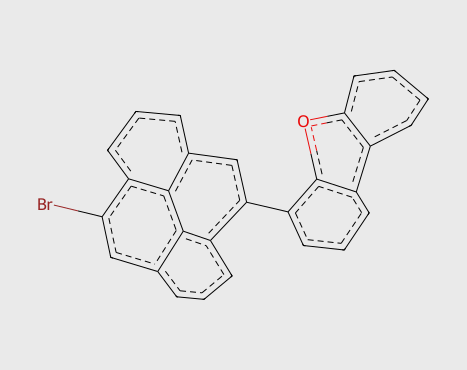 Brc1cc2cccc3c(-c4cccc5c4oc4ccccc45)cc4cccc1c4c23